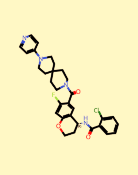 O=C(N[C@@H]1CCOc2cc(F)c(C(=O)N3CCC4(CC3)CCN(c3ccncc3)CC4)cc21)c1ccccc1Cl